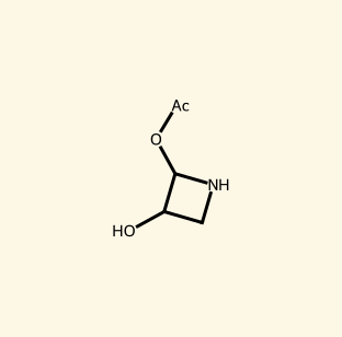 CC(=O)OC1NCC1O